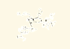 CCn1nc(C(=O)NNC(=O)C(F)F)c2cc(S(=O)(=O)NC3(C)CC3)cc(Br)c21